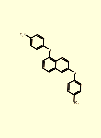 O=[N+]([O-])c1ccc(Oc2ccc3c(Oc4ccc([N+](=O)[O-])cc4)cccc3c2)cc1